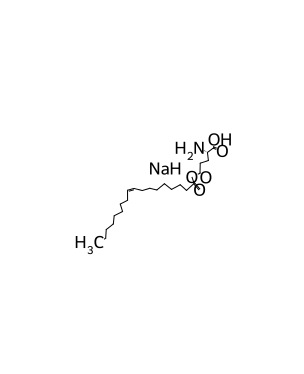 CCCCCCCC/C=C\CCCCCCCC(=O)OC(=O)CC[C@H](N)C(=O)O.[NaH]